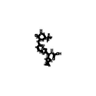 O=C(O)N[C@H](c1cn2nc(CC3C[C@@H](C(F)(F)F)CNC3=O)ccc2n1)C1CC2(CC2)C1